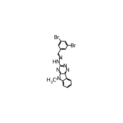 Cn1c2ccccc2c2nnc(N/N=C/c3cc(Br)cc(Br)c3)nc21